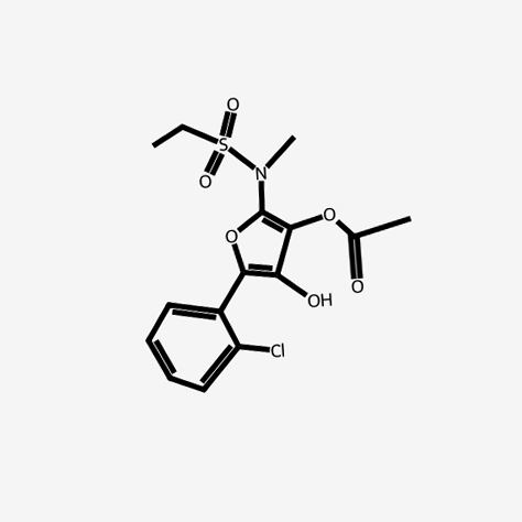 CCS(=O)(=O)N(C)c1oc(-c2ccccc2Cl)c(O)c1OC(C)=O